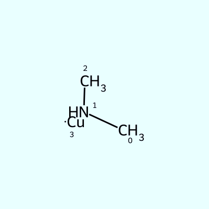 CNC.[Cu]